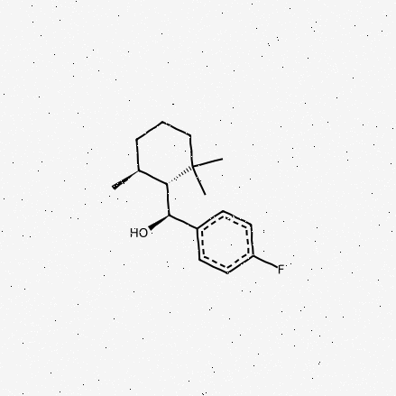 C[C@H]1CCCC(C)(C)[C@@H]1[C@H](O)c1ccc(F)cc1